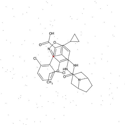 CCOc1cc(C(=O)O)ccc1NC(=O)N1C2CCC1CC(NCc1c(-c3c(Cl)cccc3Cl)noc1C1CC1)C2